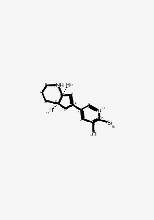 Clc1cc(C2=C[C@@H]3NCCC[C@@H]3C2)cnc1Br